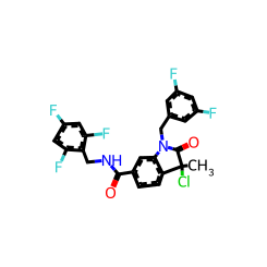 CC1(Cl)C(=O)N(Cc2cc(F)cc(F)c2)c2cc(C(=O)NCc3c(F)cc(F)cc3F)ccc21